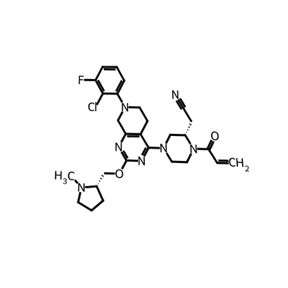 C=CC(=O)N1CCN(c2nc(OC[C@@H]3CCCN3C)nc3c2CCN(c2cccc(F)c2Cl)C3)C[C@@H]1CC#N